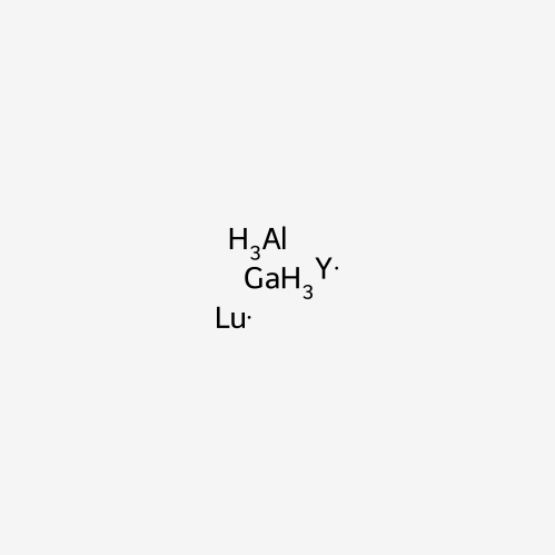 [AlH3].[GaH3].[Lu].[Y]